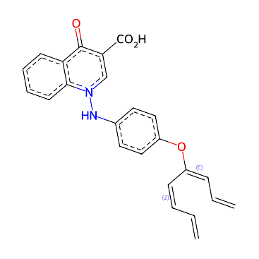 C=C/C=C\C(=C/C=C)Oc1ccc(Nn2cc(C(=O)O)c(=O)c3ccccc32)cc1